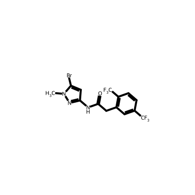 Cn1nc(NC(=O)Cc2cc(C(F)(F)F)ccc2C(F)(F)F)cc1Br